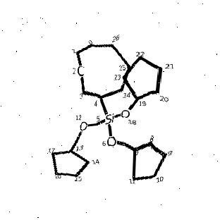 C1CCCC([Si](OC2CCCC2)(OC2CCCC2)OC2CCCC2)CCC1